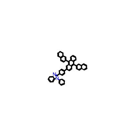 C1=CC2=CC=C(c3c4ccccc4c(-c4ccc5c(c4)CCC=C5)c4cc(C5=CCC(c6nc7ccccc7n6-c6ccccc6)C=C5)ccc34)CC2C=C1